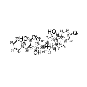 C[C@]12C[C@H](O)[C@H]3[C@@H](CCC4=CC(=O)CC[C@@]43C)[C@@H]1CC[C@@H]2C(=O)C(O)C(=Cc1ccccc1)C(=O)O